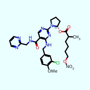 COc1ccc(CNc2nc(N3CCC[C@@H]3OC(=O)C(C)CCCCO[N+](=O)[O-])ncc2C(=O)NCc2ncccn2)cc1Cl